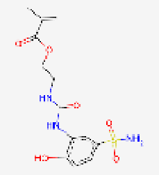 C=C(C)C(=O)OCCNC(=O)Nc1cc(S(N)(=O)=O)ccc1O